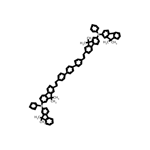 CC1(C)c2ccccc2-c2ccc(N(c3ccccc3)c3ccc4c(c3)C(C)(C)c3cc(/C=C/c5ccc(-c6ccc(-c7ccc(/C=C/c8ccc9c(c8)C(C)(C)c8cc(N(c%10ccccc%10)c%10ccc%11c(c%10)C(C)(C)c%10ccccc%10-%11)ccc8-9)cc7)cc6)cc5)ccc3-4)cc21